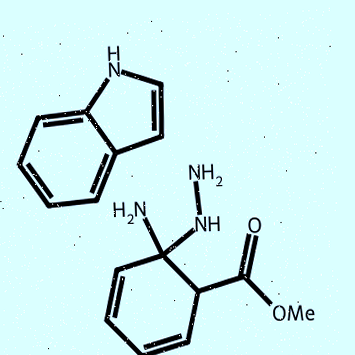 COC(=O)C1C=CC=CC1(N)NN.c1ccc2[nH]ccc2c1